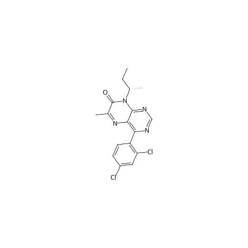 CC[C@H](C)n1c(=O)c(C)nc2c(-c3ccc(Cl)cc3Cl)ncnc21